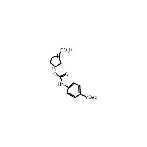 CCCCCCCCCCc1ccc(NC(=O)O[C@@H]2CCN(C(=O)O)C2)cc1